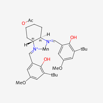 CC(=O)[O-].COc1cc(C=[N+]2[Mn][N+](=Cc3cc(OC)cc(C(C)(C)C)c3O)[C@@H]3CCCC[C@H]32)c(O)c(C(C)(C)C)c1